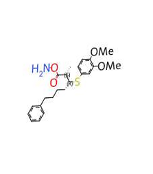 COc1ccc(S[C@H](CCCCc2ccccc2)[C@@H](C)C(=O)ON)cc1OC